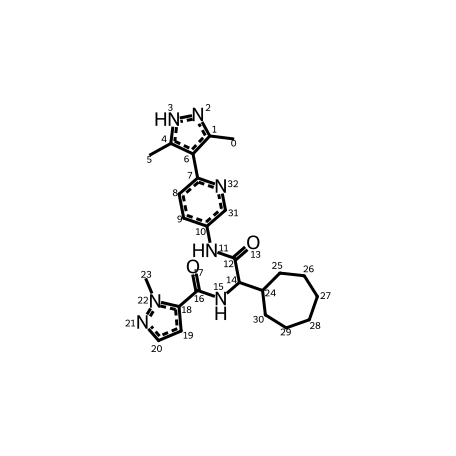 Cc1n[nH]c(C)c1-c1ccc(NC(=O)C(NC(=O)c2ccnn2C)C2CCCCCC2)cn1